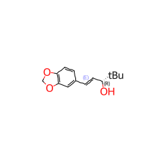 CC(C)(C)[C@H](O)/C=C/c1ccc2c(c1)OCO2